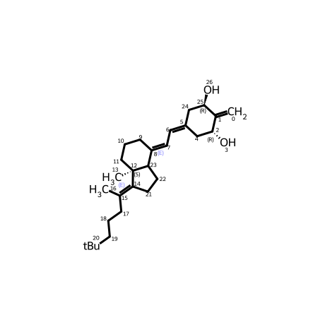 C=C1[C@H](O)CC(=C/C=C2\CCC[C@]3(C)/C(=C(\C)CCCC(C)(C)C)CCC23)C[C@H]1O